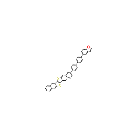 c1ccc2cc3c(cc2c1)sc1c2cc4ccc(-c5ccc(-c6ccc(-c7ccc8occc8c7)cc6)cc5)cc4cc2sc31